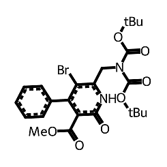 COC(=O)c1c(-c2ccccc2)c(Br)c(CN(C(=O)OC(C)(C)C)C(=O)OC(C)(C)C)[nH]c1=O